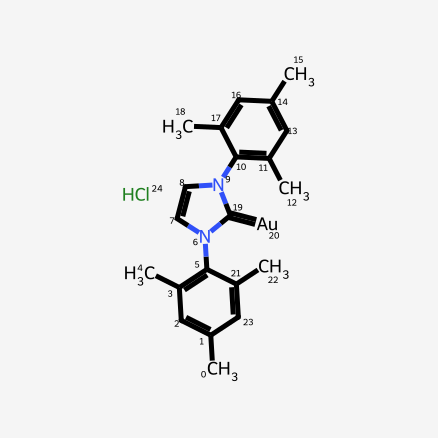 Cc1cc(C)c(-n2ccn(-c3c(C)cc(C)cc3C)[c]2=[Au])c(C)c1.Cl